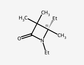 CCN1C(=O)C(C)(C)[C@]1(C)CC